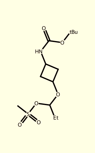 CCC(OC1CC(NC(=O)OC(C)(C)C)C1)OS(C)(=O)=O